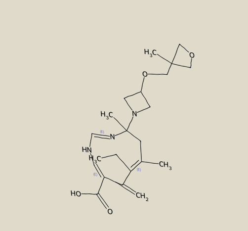 C=C1/C(C(=O)O)=C\N/C=N/C(C)(N2CC(OCC3(C)COC3)C2)C/C(C)=C/1CC